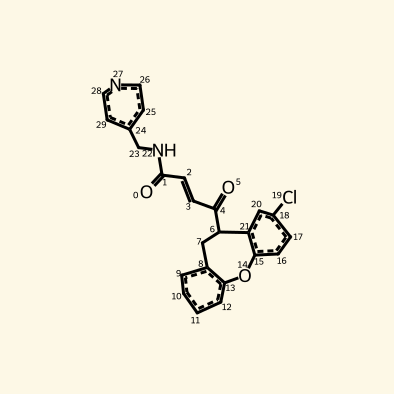 O=C(/C=C/C(=O)C1Cc2ccccc2Oc2ccc(Cl)cc21)NCc1ccncc1